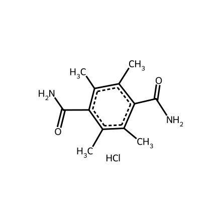 Cc1c(C)c(C(N)=O)c(C)c(C)c1C(N)=O.Cl